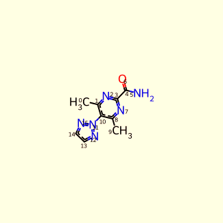 Cc1nc(C(N)=O)nc(C)c1-n1nccn1